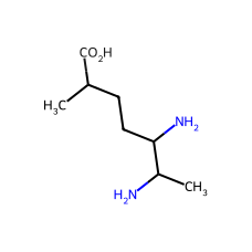 CC(CCC(N)C(C)N)C(=O)O